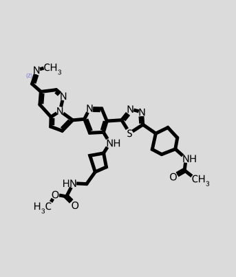 C/N=C\c1cnn2c(-c3cc(NC4CC(CNC(=O)OC)C4)c(-c4nnc(C5CCC(NC(C)=O)CC5)s4)cn3)ccc2c1